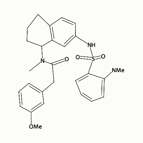 CNc1ccccc1S(=O)(=O)Nc1ccc2c(c1)C(N(C)C(=O)Cc1cccc(OC)c1)CCC2